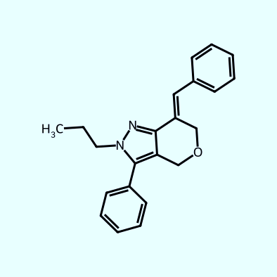 CCCn1nc2c(c1-c1ccccc1)COCC2=Cc1ccccc1